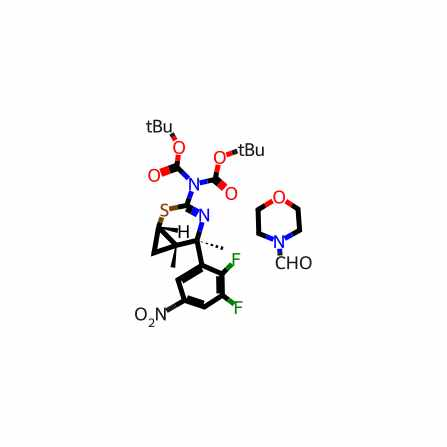 CC(C)(C)OC(=O)N(C(=O)OC(C)(C)C)C1=N[C@@](C)(c2cc([N+](=O)[O-])cc(F)c2F)[C@]2(C)C[C@@H]2S1.O=CN1CCOCC1